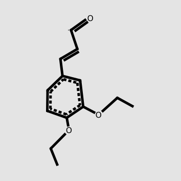 CCOc1ccc(/C=C/[C]=O)cc1OCC